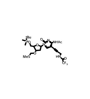 CSCOC1CC(n2cc(C#CCNC(=O)C(F)(F)F)c(NC(C)=O)nc2=O)OC1CO[Si](C)(C)C(C)(C)C